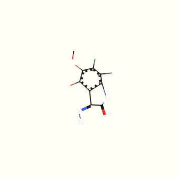 COc1c(O)c2c(c(Cl)c1Cl)NC(=O)/C2=N\N